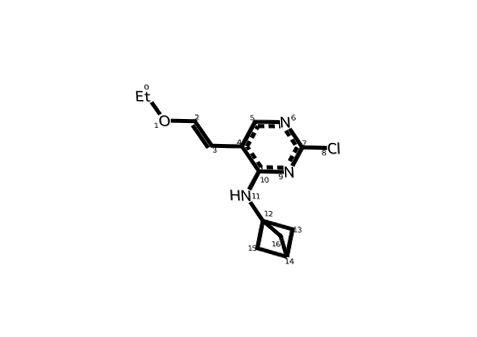 CCOC=Cc1cnc(Cl)nc1NC12CC(C1)C2